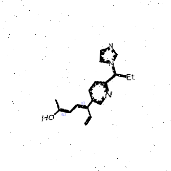 C=C/C(=C\C=C(/C)O)c1ccc(C(CC)n2ccnc2)nc1